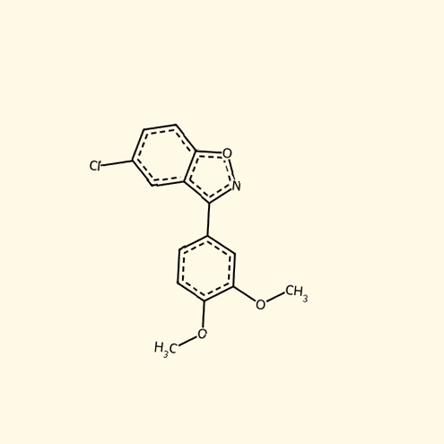 COc1ccc(-c2noc3ccc(Cl)cc23)cc1OC